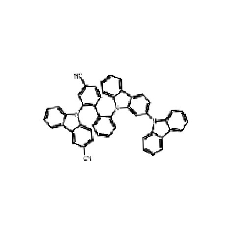 N#Cc1ccc(-c2ccccc2-n2c3ccccc3c3ccc(-n4c5ccccc5c5ccccc54)cc32)c(-n2c3ccccc3c3cc(C#N)ccc32)c1